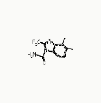 Cc1ccc2c(nc(C(F)(F)F)n2C(N)=O)c1C